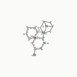 Brc1ccc(N2CC3CC(C2)N3Cc2ccccn2)nc1